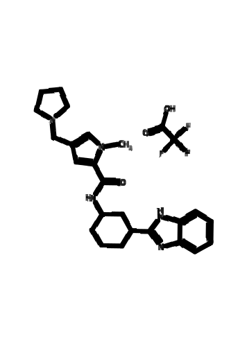 Cn1cc(CN2CCCC2)cc1C(=O)NC1CCCC(c2nc3ccccc3[nH]2)C1.O=C(O)C(F)(F)F